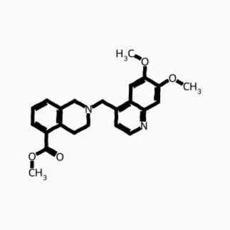 COC(=O)c1cccc2c1CCN(Cc1ccnc3cc(OC)c(OC)cc13)C2